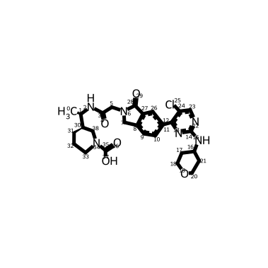 C[C@@H](NC(=O)CN1Cc2ccc(-c3nc(NC4CCOCC4)ncc3Cl)cc2C1=O)[C@@H]1CCCN(C(=O)O)C1